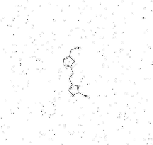 Nc1nc(CCc2ccc(CS)s2)cs1